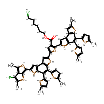 Cc1ccc(-c2c(-c3ccc(C)s3)c3sc(-c4sc(-c5cc6c(s5)c(-c5ccc(C)s5)c(-c5ccc(C)s5)c5sc(-c7sc(C)c8c(F)c(C)sc78)cc56)cc4C(=O)OCCCCCCBr)cc3c3cc(C)sc23)s1